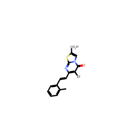 CCc1c(/C=C/c2ccccc2C)nc2sc(C(=O)O)cn2c1=O